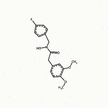 COc1ccc(CC(=O)N(O)Cc2ccc(F)cc2)cc1OC